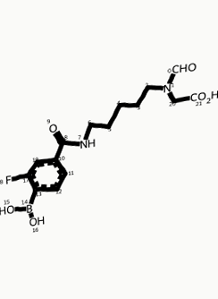 O=CN(CCCCCNC(=O)c1ccc(B(O)O)c(F)c1)CC(=O)O